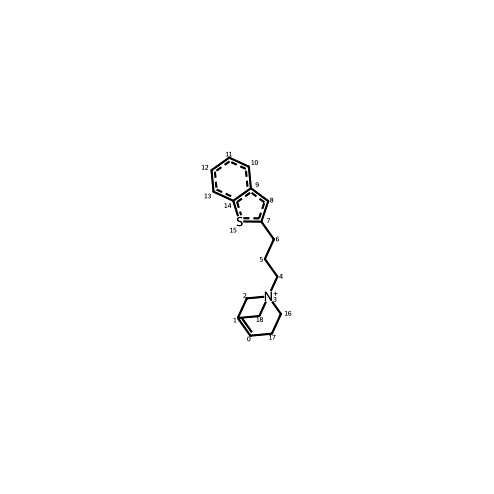 C1=C2C[N+](CCCc3cc4ccccc4s3)(CC1)C2